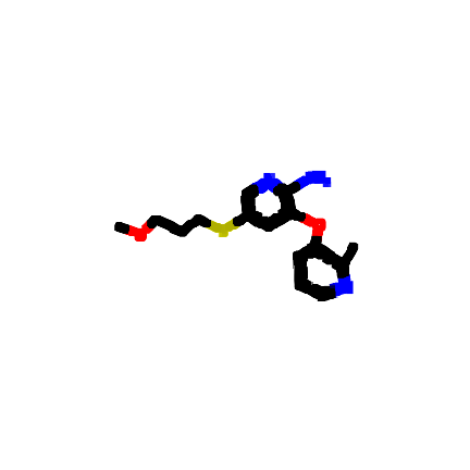 COCCCSc1cnc(N)c(Oc2cccnc2C)c1